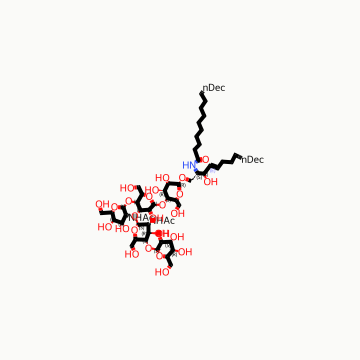 CCCCCCCCCCCCC/C=C/[C@@H](O)[C@H](CO[C@@H]1OC(CO)[C@@H](O[C@@H]2OC(CO)[C@H](O[C@@H]3OC(CO)[C@H](O)[C@H](O)C3NC(C)=O)[C@H](O[C@@H]3OC(CO)[C@@H](O[C@@H]4OC(CO)[C@H](O)[C@H](O)C4O)[C@H](O)C3NC(C)=O)C2O)[C@H](O)C1O)NC(=O)CCCCCCCCCCCCCCCCCCC